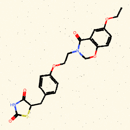 CCOc1ccc2c(c1)C(=O)N(CCOc1ccc(CC3SC(=O)NC3=O)cc1)CO2